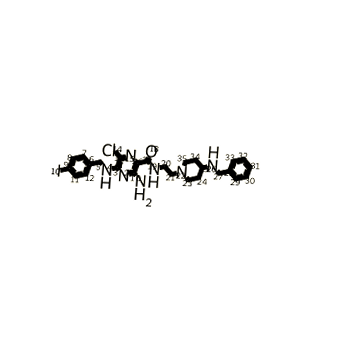 Nc1nc(NCc2ccc(I)cc2)c(Cl)nc1C(=O)NCCN1CCC(NCc2ccccc2)CC1